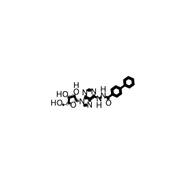 O=C(NNc1ncnc2c1ncn2[C@@H]1O[C@H](CO)[C@@H](O)[C@H]1O)c1ccc(-c2ccccc2)cc1